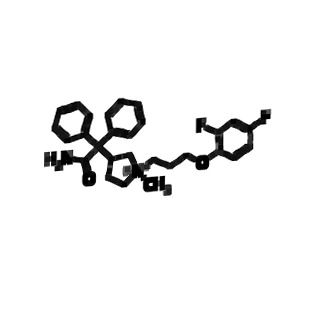 C[N@@+]1(CCCOc2ccc(F)cc2F)CCC(C(C(N)=O)(c2ccccc2)c2ccccc2)C1